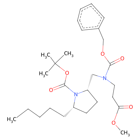 CCCCC[C@H]1CC[C@@H](CN(CCC(=O)OC)C(=O)OCc2ccccc2)N1C(=O)OC(C)(C)C